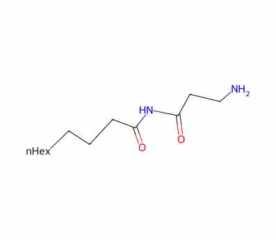 CCCCCCCCCC(=O)NC(=O)CCN